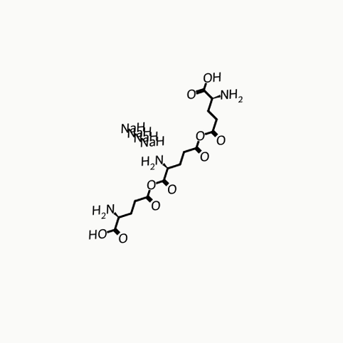 N[C@@H](CCC(=O)OC(=O)CC[C@H](N)C(=O)OC(=O)CC[C@H](N)C(=O)O)C(=O)O.[NaH].[NaH].[NaH].[NaH]